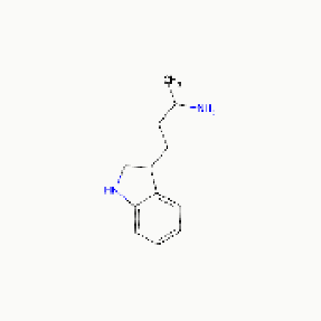 CC(N)CCC1CNc2ccccc21